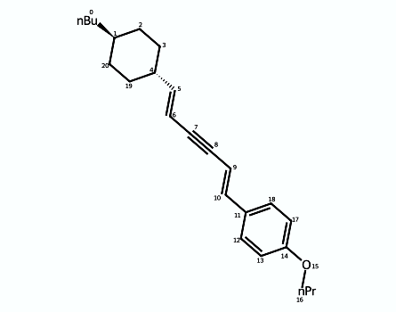 CCCC[C@H]1CC[C@H](C=CC#CC=Cc2ccc(OCCC)cc2)CC1